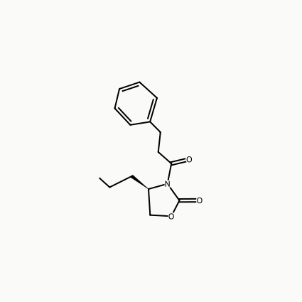 CCC[C@@H]1COC(=O)N1C(=O)CCc1ccccc1